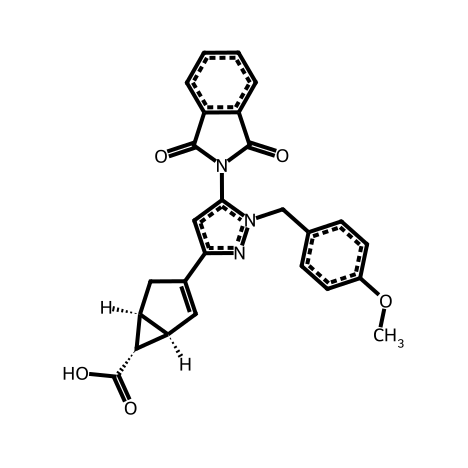 COc1ccc(Cn2nc(C3=C[C@@H]4[C@H](C3)[C@H]4C(=O)O)cc2N2C(=O)c3ccccc3C2=O)cc1